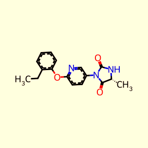 CCc1ccccc1Oc1ccc(N2C(=O)N[C@H](C)C2=O)cn1